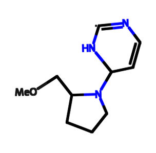 COCC1CCCN1C1C=CN=[C]N1